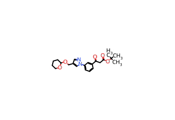 CC(C)(C)OC(=O)CC(=O)c1cccc(-n2cc(COC3CCCCO3)cn2)c1